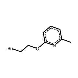 CCC(C)CCOc1cccc(C)n1